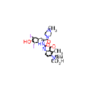 Cc1c(N(C(=O)O)C(C)(C)C)ccc2nc(N[C@@H](Cc3cc(I)c(O)c(I)c3)C(=O)N3CCN(C)CC3)oc(=O)c12